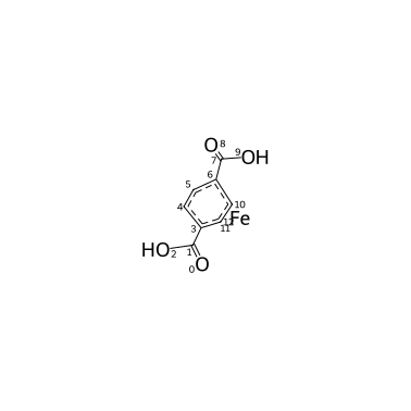 O=C(O)c1ccc(C(=O)O)cc1.[Fe]